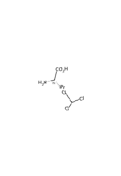 CC(C)[C@H](N)C(=O)O.ClC(Cl)Cl